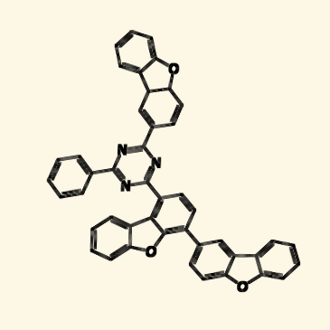 C1=CC2Oc3ccccc3C2C=C1c1nc(-c2ccccc2)nc(-c2ccc(-c3ccc4oc5ccccc5c4c3)c3oc4ccccc4c23)n1